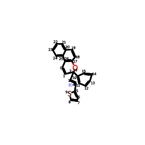 C1=CC(/C=C/c2cccs2)(c2ccccc2)Oc2ccc3ccccc3c21